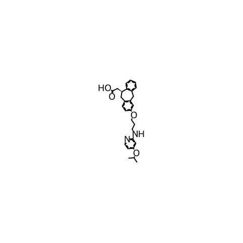 CC(C)Oc1ccnc(NCCCOc2ccc3c(c2)Cc2ccccc2[C@H](CC(=O)O)C3)c1